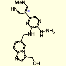 CN/C=C(\C=N)c1cnc(NN)c(NCc2ccc3ncc(CO)n3c2)n1